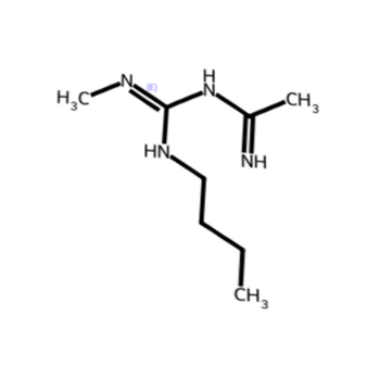 CCCCN/C(=N\C)NC(C)=N